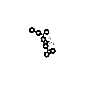 CC1(C)c2cc(N(c3ccccc3)c3ccc(-c4ccccc4)cc3)ccc2-c2ccc(N3C4C=CC=CC4C4C=CC=CC43)cc21